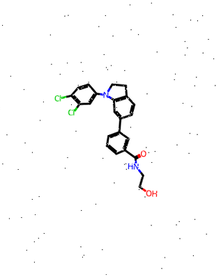 O=C(NCCO)c1cccc(-c2ccc3c(c2)N(c2ccc(Cl)c(Cl)c2)CC3)c1